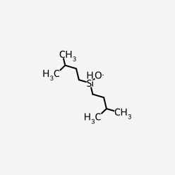 CC(C)CC[SiH]([O])CCC(C)C